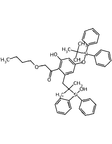 CCCCOCC(=O)c1c(O)cc(O[Si](c2ccccc2)(c2ccccc2)C(C)(C)C)cc1CC(C)(C)[Si](O)(c1ccccc1)c1ccccc1